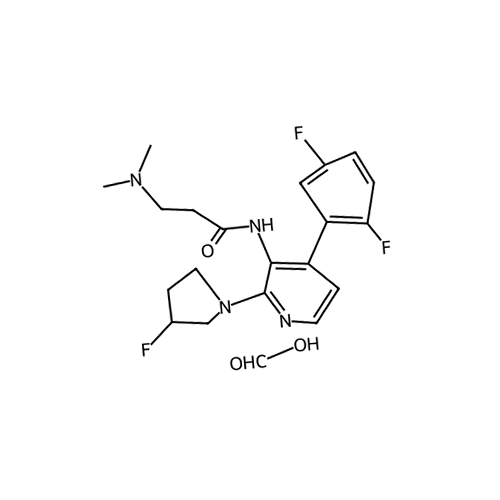 CN(C)CCC(=O)Nc1c(-c2cc(F)ccc2F)ccnc1N1CCC(F)C1.O=CO